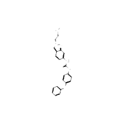 CNCCn1cc2ccc(NC(=O)Nc3ccc(Oc4ccccc4)cc3)cc2n1